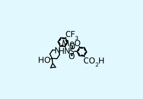 COc1ccc(C(=O)O)cc1S(=O)(=O)Nc1cc(C(F)(F)F)ccc1N1CCC(O)(C2CC2)CC1